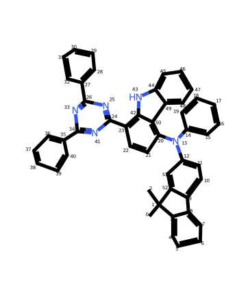 CC1(C)c2ccccc2-c2ccc(N(c3ccccc3)c3ccc(-c4nc(-c5ccccc5)nc(-c5ccccc5)n4)c4[nH]c5ccccc5c34)cc21